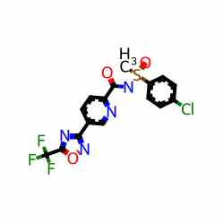 CS(=O)(=NC(=O)c1ccc(-c2noc(C(F)(F)F)n2)cn1)c1ccc(Cl)cc1